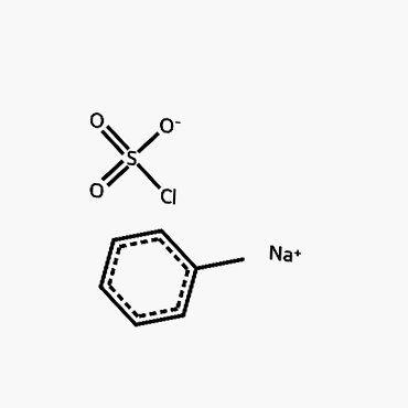 Cc1ccccc1.O=S(=O)([O-])Cl.[Na+]